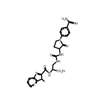 CCOC(=O)C(CNC(=O)NC1CCN(c2ccc(C(=N)N)cc2)C1=O)NC(=O)C1=Nc2ccccc2C1C